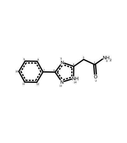 NC(=O)Cc1nc(-c2ccccc2)n[nH]1